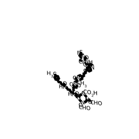 C#C[C@H]1CC(F)(F)CN1C(=O)CNC(=O)c1ccnc2ccc(OCCCC3CCN(C(=O)[C@H](C)CN4C(=O)CC(SC[C@H](CCCCNC(=O)CCCc5ccc(C)cc5)NC(=O)CN5CCN(COC=O)CCN(COC=O)CCN(CC(=O)O)CC5)C4=O)CC3)cc12